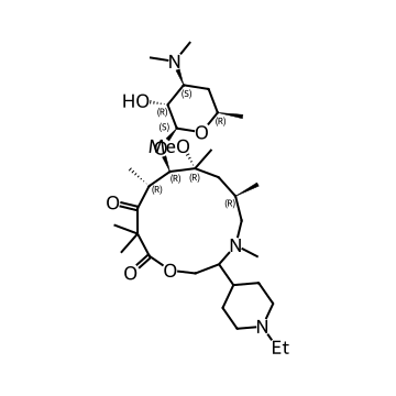 CCN1CCC(C2COC(=O)C(C)(C)C(=O)[C@H](C)[C@@H](O[C@@H]3O[C@H](C)C[C@H](N(C)C)[C@H]3O)[C@](C)(OC)C[C@@H](C)CN2C)CC1